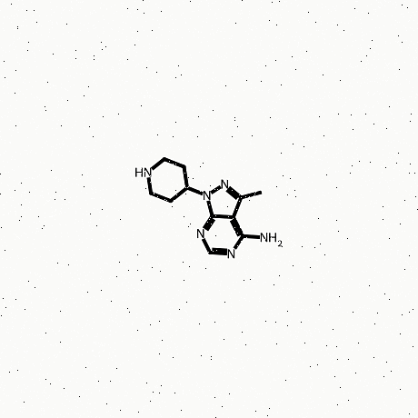 Cc1nn(C2CCNCC2)c2ncnc(N)c12